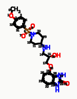 COc1ccc(S(=O)(=O)N2CCC(NC[C@@H](O)COc3cccc4[nH]c(=O)[nH]c34)CC2)cc1